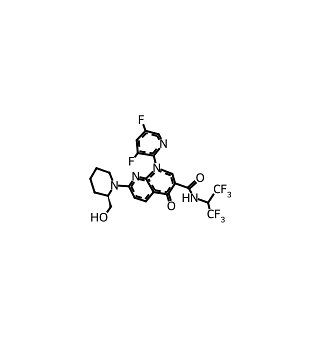 O=C(NC(C(F)(F)F)C(F)(F)F)c1cn(-c2ncc(F)cc2F)c2nc(N3CCCC[C@@H]3CO)ccc2c1=O